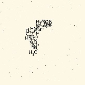 CCn1cc2ncc(N[C@@H](C)c3cccc(NC(=O)Nc4ccc(OC(F)(F)F)nc4)c3)nc2n1